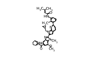 COc1cc(C(=O)N2CC3CCC2C3N)cc2nc(-c3cc4ccc(-c5cccc(NC(=O)C=C(C)C)c5C)nc4n3CC3CC3)n(C)c12